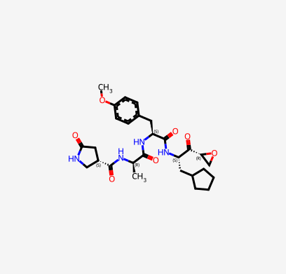 COc1ccc(C[C@H](NC(=O)[C@@H](C)NC(=O)[C@@H]2CNC(=O)C2)C(=O)N[C@@H](CC2CCCC2)C(=O)[C@H]2CO2)cc1